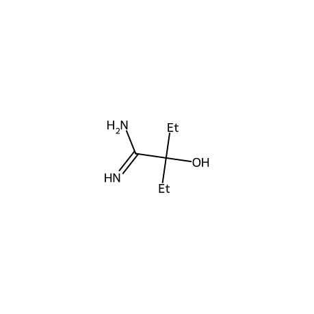 CCC(O)(CC)C(=N)N